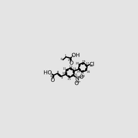 CCC(=O)O.O=C(O)C=Cc1ccc(-c2ccc(Cl)cc2)c([N+](=O)[O-])c1